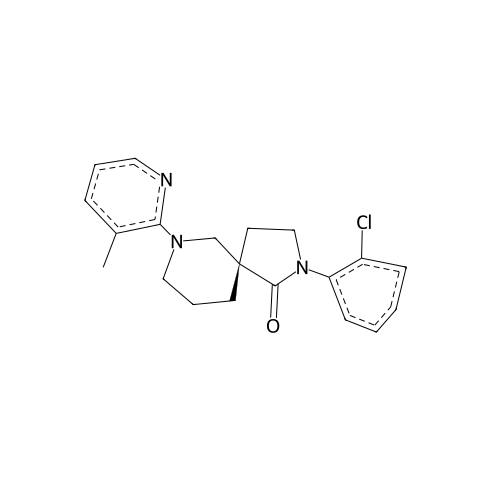 Cc1cccnc1N1CCC[C@]2(CCN(c3ccccc3Cl)C2=O)C1